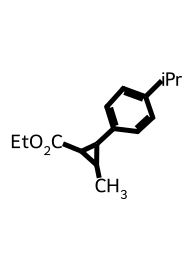 CCOC(=O)C1C(C)C1c1ccc(C(C)C)cc1